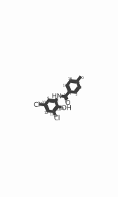 Cc1ccc(C(=O)Nc2cc(Cl)cc(Cl)c2O)cc1